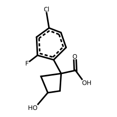 O=C(O)C1(c2ccc(Cl)cc2F)CC(O)C1